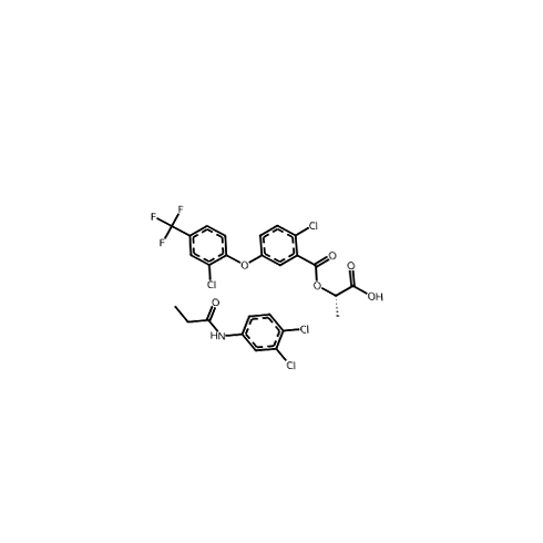 CCC(=O)Nc1ccc(Cl)c(Cl)c1.C[C@H](OC(=O)c1cc(Oc2ccc(C(F)(F)F)cc2Cl)ccc1Cl)C(=O)O